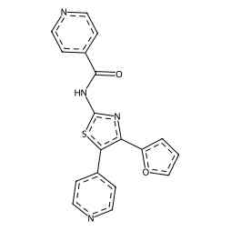 O=C(Nc1nc(-c2ccco2)c(-c2ccncc2)s1)c1ccncc1